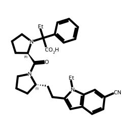 CCn1c(CC[C@@H]2CCCN2C(=O)[C@H]2CCCN2C(CC)(C(=O)O)c2ccccc2)cc2ccc(C#N)cc21